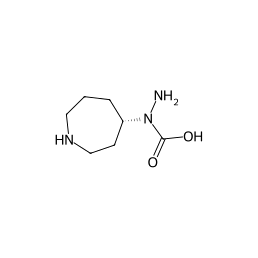 NN(C(=O)O)[C@H]1CCCNCC1